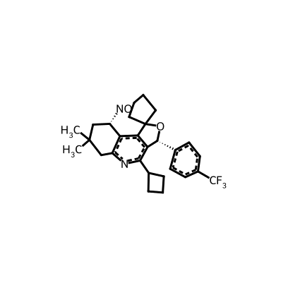 CC1(C)Cc2nc(C3CCC3)c3c(c2[C@@H](N=O)C1)C1(CCCC1)O[C@@H]3c1ccc(C(F)(F)F)cc1